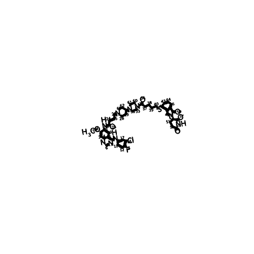 COc1cc2ncnc(Nc3ccc(F)c(Cl)c3)c2cc1NC(=O)/C=C/CN1CCC(N2CCN(C(=O)CCCCSc3cccc4c3CN(C3CCC(=O)NC3=O)C4=O)CC2)CC1